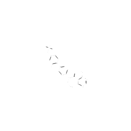 CS(=O)(=O)Cc1ccc(-c2ccc(N3CCOc4ncnc(N)c4C3=O)cc2)c(Cl)c1